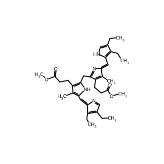 CCC1=C(CC)/C(=C/c2[nH]c(CC3=N/C(=C\c4[nH]cc(CC)c4CC)C(C)=C3CCC(=O)OC)c(CCC(=O)OC)c2C)N=C1